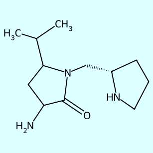 CC(C)C1CC(N)C(=O)N1C[C@@H]1CCCN1